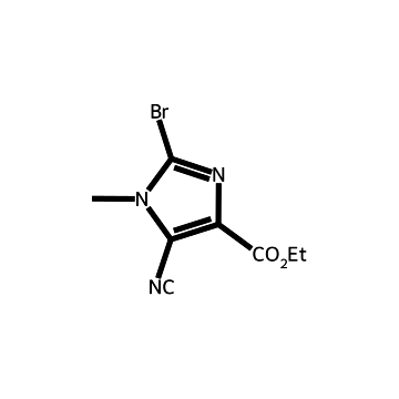 [C-]#[N+]c1c(C(=O)OCC)nc(Br)n1C